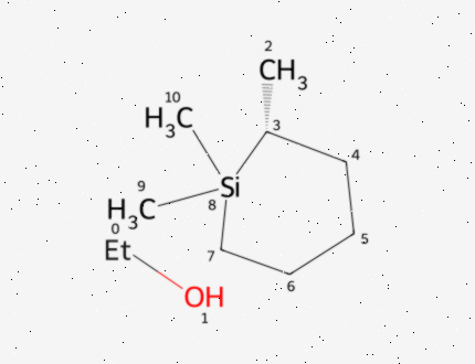 CCO.C[C@@H]1CCCC[Si]1(C)C